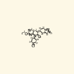 CCOc1ncc2cc(-c3ccc4nn(C)cc4c3)c(=O)n(-c3ccc(Cl)cc3)c2n1